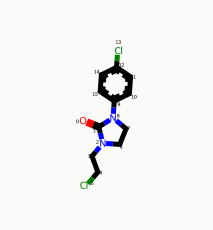 O=C1N(CCCl)CCN1c1ccc(Cl)cc1